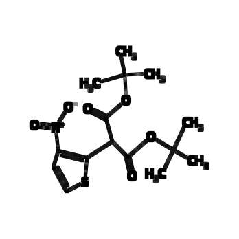 CC(C)(C)OC(=O)C(C(=O)OC(C)(C)C)c1sccc1[N+](=O)[O-]